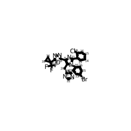 FC(F)(F)C1(c2nnc(-c3nc(-c4ccccc4Cl)n(-c4ccc(Br)cc4)c3Cn3cncn3)o2)CC1